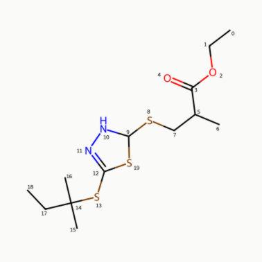 CCOC(=O)C(C)CSC1NN=C(SC(C)(C)CC)S1